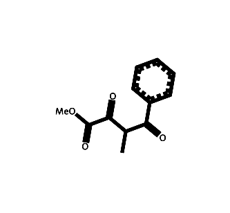 COC(=O)C(=O)C(C)C(=O)c1ccccc1